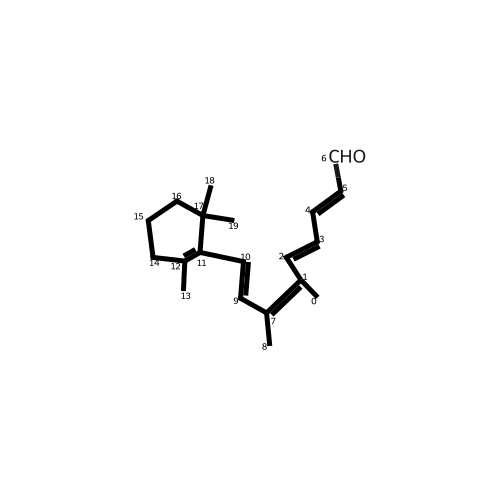 CC(C=CC=CC=O)=C(C)C=CC1=C(C)CCCC1(C)C